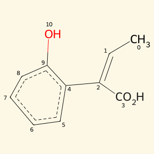 CC=C(C(=O)O)c1ccccc1O